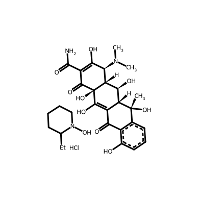 CCC1CCCCN1O.CN(C)[C@@H]1C(O)=C(C(N)=O)C(=O)[C@@]2(O)C(O)=C3C(=O)c4c(O)cccc4[C@@](C)(O)[C@H]3[C@H](O)[C@@H]12.Cl